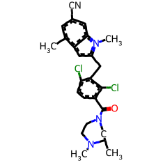 Cc1cc(C#N)cc2c1cc(Cc1c(Cl)ccc(C(=O)N3CCN(C)C(C)C3)c1Cl)n2C